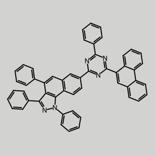 c1ccc(-c2nc(-c3ccc4c(c3)cc(-c3ccccc3)c3c(-c5ccccc5)nn(-c5ccccc5)c34)nc(-c3cc4ccccc4c4ccccc34)n2)cc1